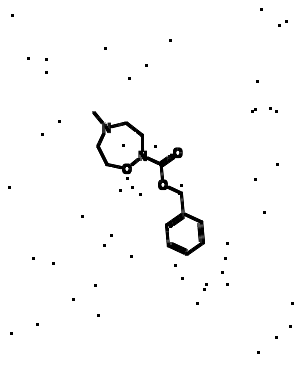 CN1CCON(C(=O)OCc2ccccc2)CC1